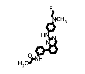 C=CC(=O)Nc1cccc(-c2cccc3cnc(Nc4ccc(N(C)CCF)cc4)nc23)c1